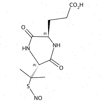 CC(C)(SN=O)[C@@H]1NC(=O)[C@@H](CCC(=O)O)NC1=O